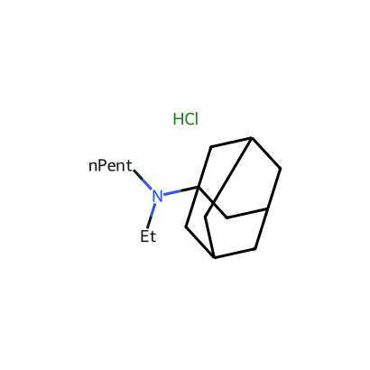 CCCCCN(CC)C12CC3CC(CC(C3)C1)C2.Cl